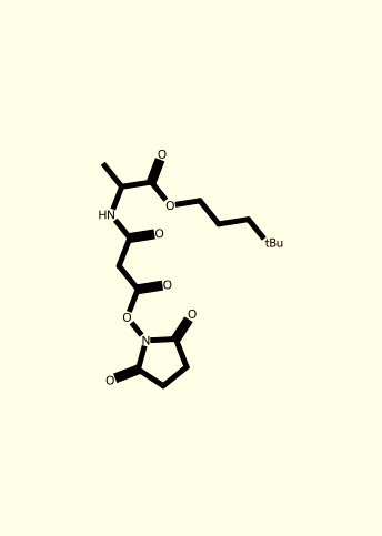 CC(NC(=O)CC(=O)ON1C(=O)CCC1=O)C(=O)OCCCC(C)(C)C